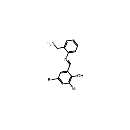 NCc1ccccc1N=Cc1cc(Br)cc(Br)c1O